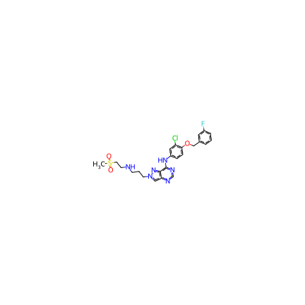 CS(=O)(=O)CCNCCCn1cc2ncnc(Nc3ccc(OCc4cccc(F)c4)c(Cl)c3)c2n1